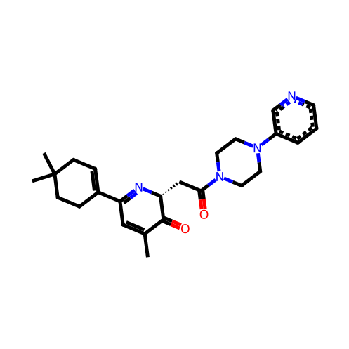 CC1=CC(C2=CCC(C)(C)CC2)=N[C@H](CC(=O)N2CCN(c3cccnc3)CC2)C1=O